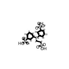 O=S(=O)(O)CCP(c1cccc(S(=O)(=O)O)c1)c1cccc(S(=O)(=O)O)c1